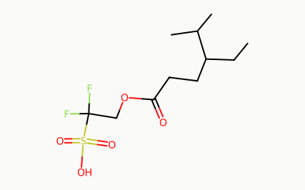 CCC(CCC(=O)OCC(F)(F)S(=O)(=O)O)C(C)C